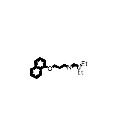 CCN(C=NCCCOc1cccc2ccccc12)CC